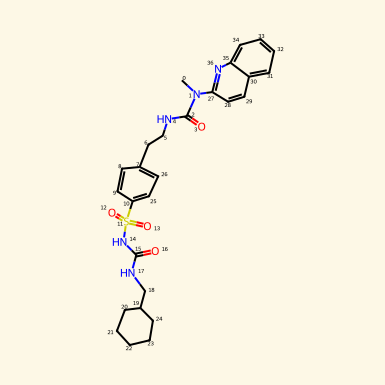 CN(C(=O)NCCc1ccc(S(=O)(=O)NC(=O)NCC2CCCCC2)cc1)c1ccc2ccccc2n1